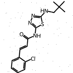 CC(C)(C)CNc1nnc(NC(=O)/C=C/c2ccccc2Cl)s1